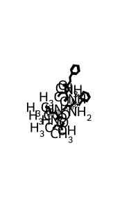 CC[C@H](C)[C@H](NC(=O)C[C@H](N)[C@H](Cc1ccccc1)NC(=O)C(NC(=O)CCc1ccccc1)C(C)C)C(=O)NC(C(=O)O)C(C)C